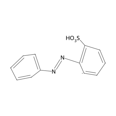 O=S(=O)(O)c1ccc[c]c1N=Nc1ccccc1